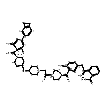 O=C(CN1CCC(OC2CCN(C(=O)c3c(F)cc(-c4ccc5c(c4)CC5)cc3F)CC2)CC1)N1CCN(C(=O)c2cc(Cc3n[nH]c(=O)c4ccccc34)ccc2F)CC1